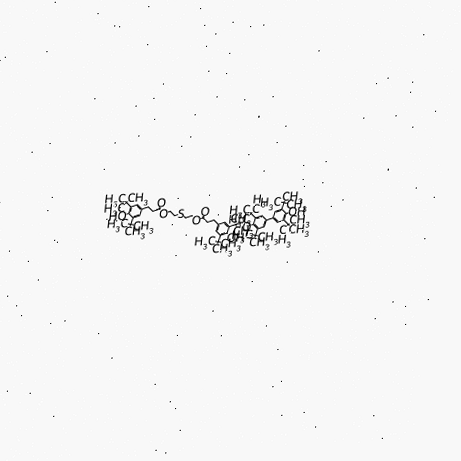 CC(C)(C)c1cc(CCC(=O)OCCSCCOC(=O)CCc2cc(C(C)(C)C)c(O)c(C(C)(C)COc3c(C(C)(C)C)cc(-c4cc(C(C)(C)C)c(O)c(C(C)(C)C)c4)cc3C(C)(C)C)c2)cc(C(C)(C)C)c1O